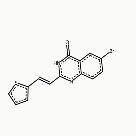 O=c1[nH]c(/C=C/c2cccs2)nc2ccc(Br)cc12